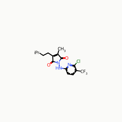 CC1=C(CCC(C)C)C(=O)N(Nc2ccc(C(F)(F)F)c(Cl)n2)C1=O